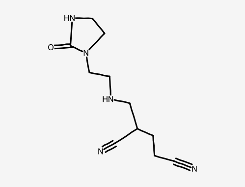 N#CCCC(C#N)CNCCN1CCNC1=O